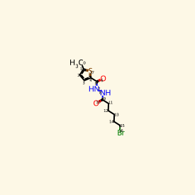 Cc1ccc(C(=O)NNC(=O)CCCCCBr)s1